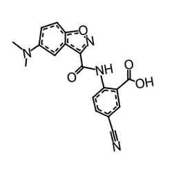 CN(C)c1ccc2onc(C(=O)Nc3ccc(C#N)cc3C(=O)O)c2c1